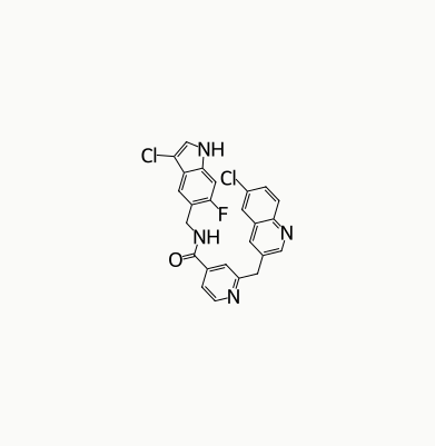 O=C(NCc1cc2c(Cl)c[nH]c2cc1F)c1ccnc(Cc2cnc3ccc(Cl)cc3c2)c1